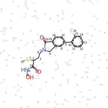 CSC(CCN1Cc2cc(-c3ccccc3F)ccc2C1=O)C(=O)NO